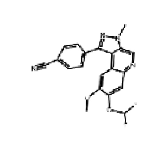 COc1cc2c(cc1OC(F)F)ncc1c2c(-c2ccc(C#N)cc2)nn1C